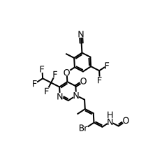 C/C(=C\C(Br)=C/NC=O)Cn1cnc(C(F)(F)C(F)F)c(Oc2cc(C(F)F)cc(C#N)c2C)c1=O